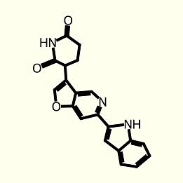 O=C1CCC(c2coc3cc(-c4cc5ccccc5[nH]4)ncc23)C(=O)N1